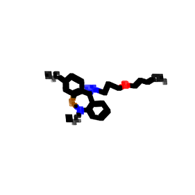 CCCCOCCCNC1c2ccc(C)cc2SN(C)c2ccccc21